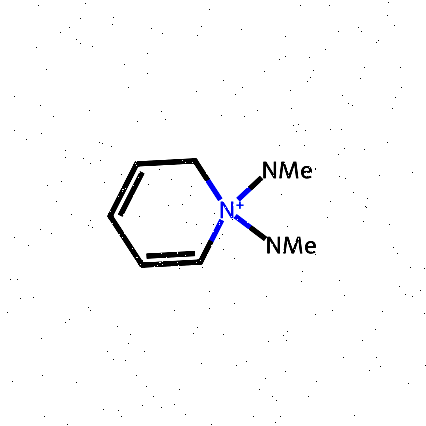 CN[N+]1(NC)C=CC=CC1